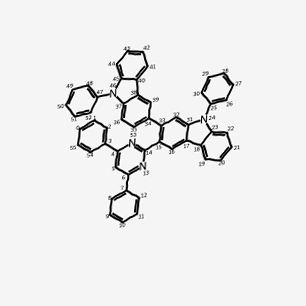 c1ccc(-c2cc(-c3ccccc3)nc(-c3cc4c5ccccc5n(-c5ccccc5)c4cc3-c3ccc4c(c3)c3ccccc3n4-c3ccccc3)n2)cc1